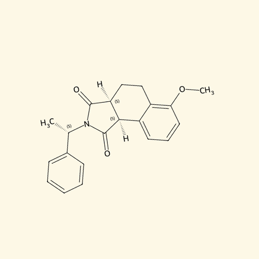 COc1cccc2c1CC[C@@H]1C(=O)N([C@@H](C)c3ccccc3)C(=O)[C@H]21